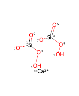 O=[Si]([O-])OO.O=[Si]([O-])OO.[Ca+2]